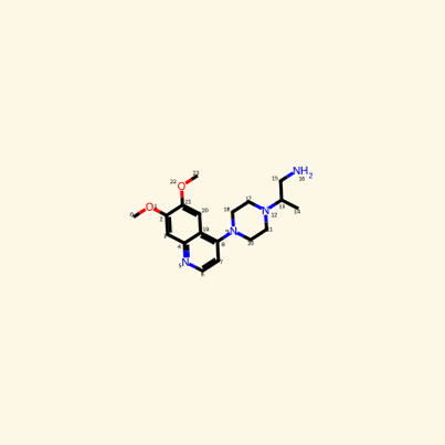 COc1cc2nccc(N3CCN(C(C)CN)CC3)c2cc1OC